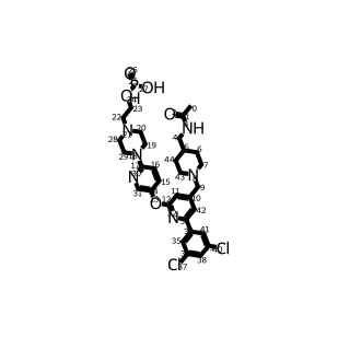 CC(=O)NCC1CCN(Cc2cc(Oc3ccc(N4CCN(CCO[PH](=O)O)CC4)nc3)nc(-c3cc(Cl)cc(Cl)c3)c2)CC1